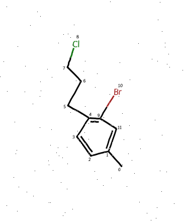 Cc1ccc(CCCCl)c(Br)c1